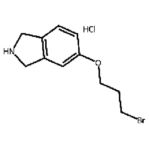 BrCCCOc1ccc2c(c1)CNC2.Cl